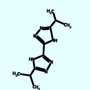 CC(C)c1nnc(-c2nnc(C(C)C)[nH]2)[nH]1